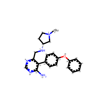 CC(C)(C)N1CC[C@@H](NCc2ncnc(N)c2-c2ccc(Oc3ccccc3)cc2)C1